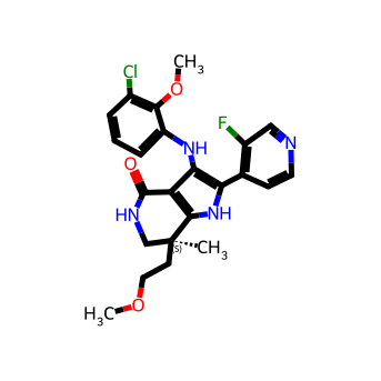 COCC[C@@]1(C)CNC(=O)c2c1[nH]c(-c1ccncc1F)c2Nc1cccc(Cl)c1OC